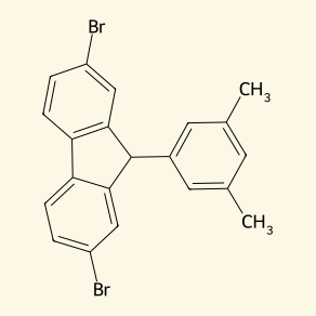 Cc1cc(C)cc(C2c3cc(Br)ccc3-c3ccc(Br)cc32)c1